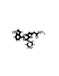 NC(=O)Cc1cc2nc(-c3cccc4[nH]ccc34)nc(N3CCOCC3)c2s1